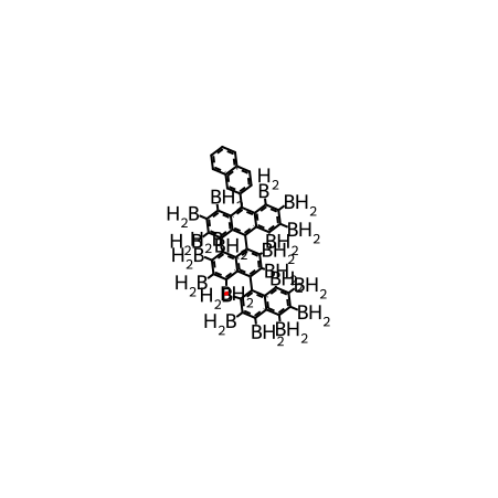 Bc1c(B)c(B)c2c(-c3c(B)c(B)c(-c4c5c(B)c(B)c(B)c(B)c5c(-c5ccc6ccccc6c5)c5c(B)c(B)c(B)c(B)c45)c4c(B)c(B)c(B)c(B)c34)c(B)c(B)c(B)c2c1B